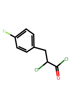 O=C(Cl)C(Cl)Cc1ccc(F)cc1